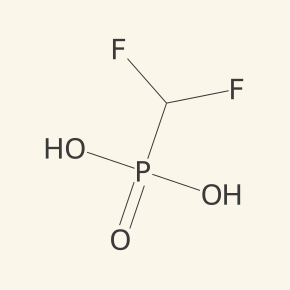 O=P(O)(O)C(F)F